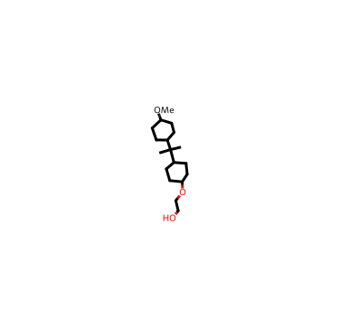 COC1CCC(C(C)(C)C2CCC(OCCO)CC2)CC1